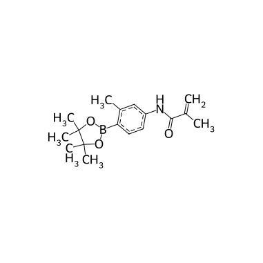 C=C(C)C(=O)Nc1ccc(B2OC(C)(C)C(C)(C)O2)c(C)c1